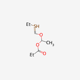 CC[SH]=COC(C)OC(=O)CC